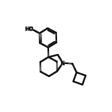 Oc1cccc(C23CCCC(C2)N(CC2CCC2)C3)c1